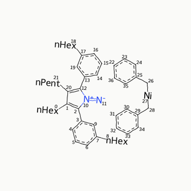 CCCCCCC1=C(c2cccc(CCCCCC)c2)[N+](=[N-])C(c2cccc(CCCCCC)c2)=C1CCCCC.c1ccc([CH2][Ni][CH2]c2ccccc2)cc1